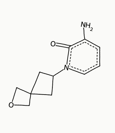 Nc1cccn(C2CC3(COC3)C2)c1=O